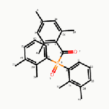 Cc1cc(C)c(C(=O)P(=O)(c2cccc(C)c2C)c2cccc(C)c2C)c(C)c1